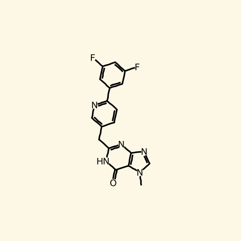 Cn1cnc2nc(Cc3ccc(-c4cc(F)cc(F)c4)nc3)[nH]c(=O)c21